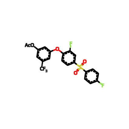 CC(=O)Oc1cc(Oc2ccc(S(=O)(=O)c3ccc(F)cc3)cc2F)cc(C(F)(F)F)c1